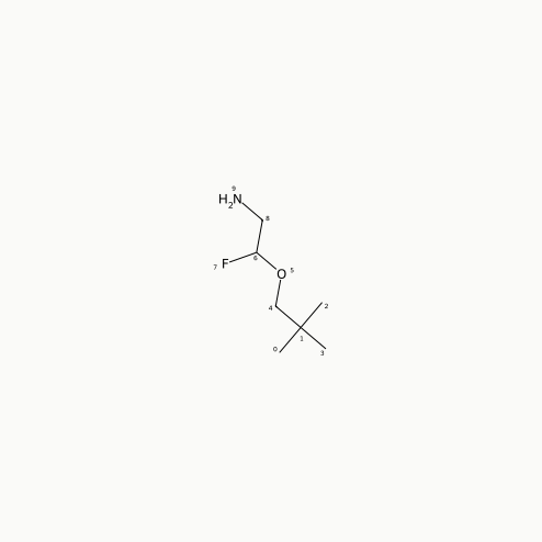 CC(C)(C)COC(F)CN